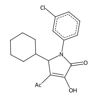 CC(=O)C1=C(O)C(=O)N(c2cccc(Cl)c2)C1C1CCCCC1